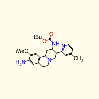 COc1cc2c(cc1N)CCN1CC(c3cc(C)ccn3)C(NC(=O)OC(C)(C)C)CC21